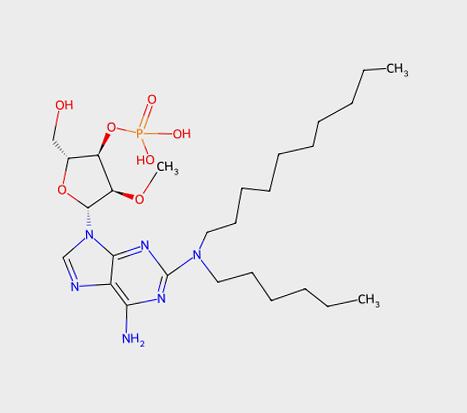 CCCCCCCCCCN(CCCCCC)c1nc(N)c2ncn([C@@H]3O[C@H](CO)[C@@H](OP(=O)(O)O)[C@H]3OC)c2n1